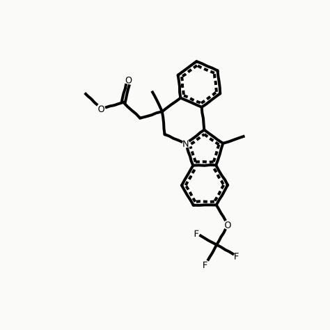 COC(=O)CC1(C)Cn2c(c(C)c3cc(OC(F)(F)F)ccc32)-c2ccccc21